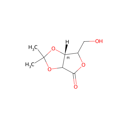 CC1(C)OC2C(=O)OC(CO)[C@H]2O1